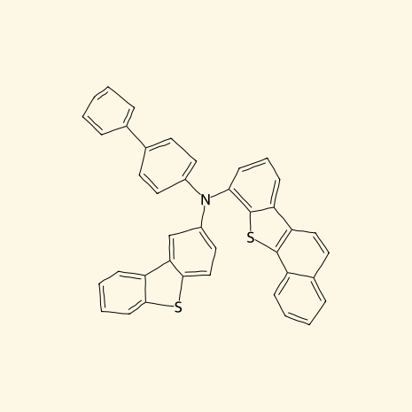 c1ccc(-c2ccc(N(c3ccc4sc5ccccc5c4c3)c3cccc4c3sc3c5ccccc5ccc43)cc2)cc1